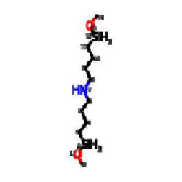 CO[SiH2]CCCCNCCCC[SiH2]OC